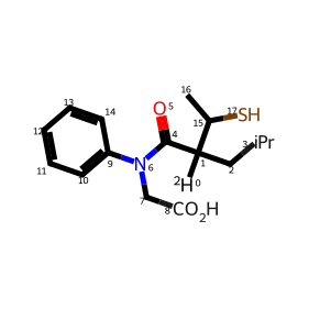 [2H]C(CC(C)C)(C(=O)N(CC(=O)O)c1ccccc1)C(C)S